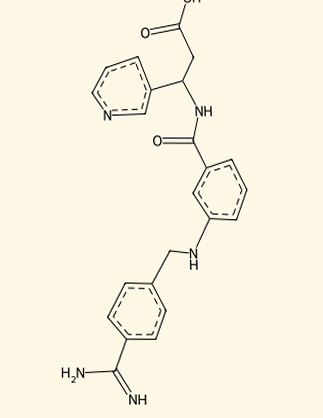 N=C(N)c1ccc(CNc2cccc(C(=O)NC(CC(=O)O)c3cccnc3)c2)cc1